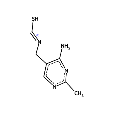 Cc1ncc(C/N=C/S)c(N)n1